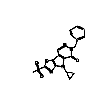 CS(=O)(=O)c1nc2c(s1)c1cnn(Cc3ccccc3)c(=O)c1n2C1CC1